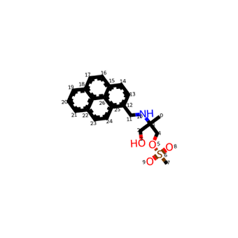 CC(CO)(COS(C)(=O)=O)NCc1ccc2ccc3cccc4ccc1c2c34